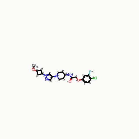 O=C(COc1ccc(Cl)c(F)c1)NC1CCN(c2cnn(C3CC(OC(F)(F)F)C3)c2)CC1